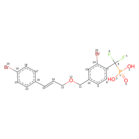 O=P(O)(O)C(F)(F)c1ccc(COC/C=C/c2ccc(Br)cc2)cc1Br